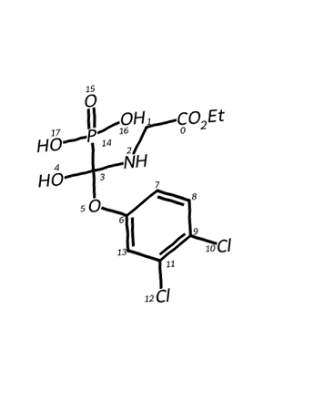 CCOC(=O)CNC(O)(Oc1ccc(Cl)c(Cl)c1)P(=O)(O)O